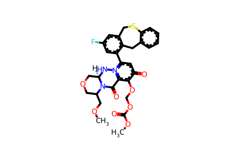 COCC1COC[C@H]2Nn3c(-c4cc(F)cc5c4Cc4ccccc4SC5)cc(=O)c(OCOC(=O)OC)c3C(=O)N12